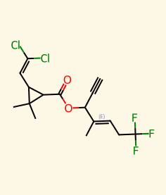 C#CC(OC(=O)C1C(C=C(Cl)Cl)C1(C)C)/C(C)=C/CC(F)(F)F